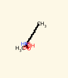 CCCCCCCCCCCCCCCCCC(=O)N[C@@H](COC)[C@H](O)C=O